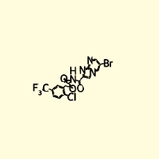 O=C(NS(=O)(=O)c1cc(C(F)(F)F)ccc1Cl)c1cn2cc(Br)cnc2n1